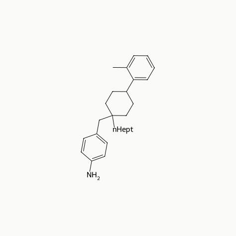 CCCCCCCC1(Cc2ccc(N)cc2)CCC(c2ccccc2C)CC1